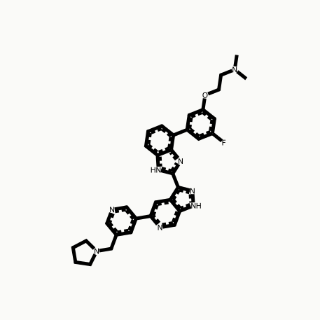 CN(C)CCOc1cc(F)cc(-c2cccc3[nH]c(-c4n[nH]c5cnc(-c6cncc(CN7CCCC7)c6)cc45)nc23)c1